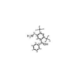 CC(C)(C)c1cc(C(C)(C)C)c(P(O)c2ccccc2)cc1CN